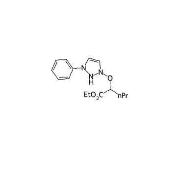 CCCC(ON1C=CN(c2ccccc2)N1)C(=O)OCC